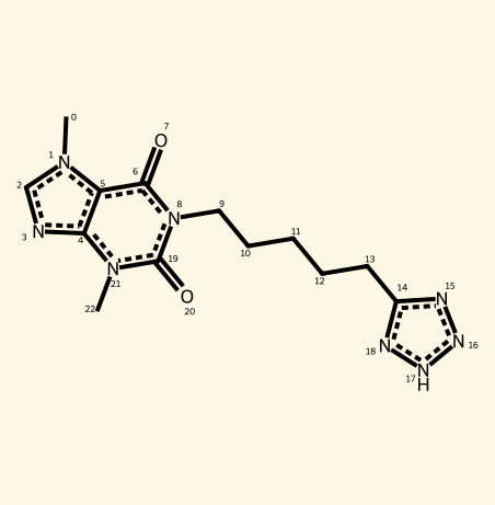 Cn1cnc2c1c(=O)n(CCCCCc1nn[nH]n1)c(=O)n2C